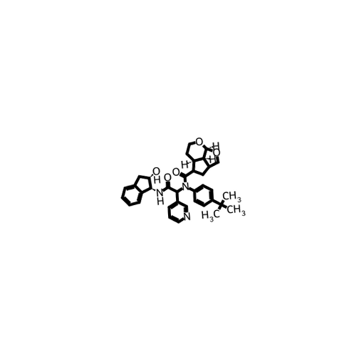 CC(C)(C)c1ccc(N(C(=O)C2CC3CO[C@@H]4OCC[C@H]2[C@H]34)C(C(=O)N[C@@H]2c3ccccc3C[C@@H]2O)c2cccnc2)cc1